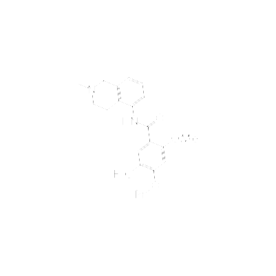 COc1cc(OC(C)C)c(C(F)(F)F)cc1C(=O)Nc1cccc2c1CCN(C)C2